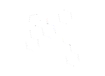 O=C(CSc1nc2c(c(=O)n1C1CCCCC1)C1(CCCC1)Cc1ccccc1-2)c1ccccc1